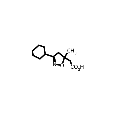 CC1(C[13C](=O)O)CC(C2CCCCC2)=NO1